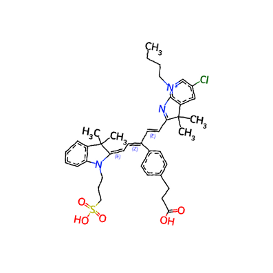 CCCC[n+]1cc(Cl)cc2c1N=C(/C=C/C(=C/C=C1/N(CCCS(=O)(=O)O)c3ccccc3C1(C)C)c1ccc(CCC(=O)O)cc1)C2(C)C